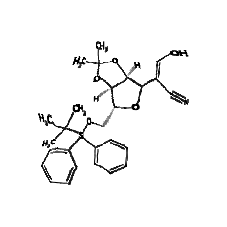 CC1(C)O[C@@H]2[C@@H](CO[Si](c3ccccc3)(c3ccccc3)C(C)(C)C)OC(C(C#N)=CO)[C@@H]2O1